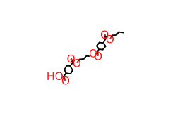 CCCCOC(=O)C1CCC(C(=O)OCCCCOC(=O)C2CCC(C(=O)O)CC2)CC1